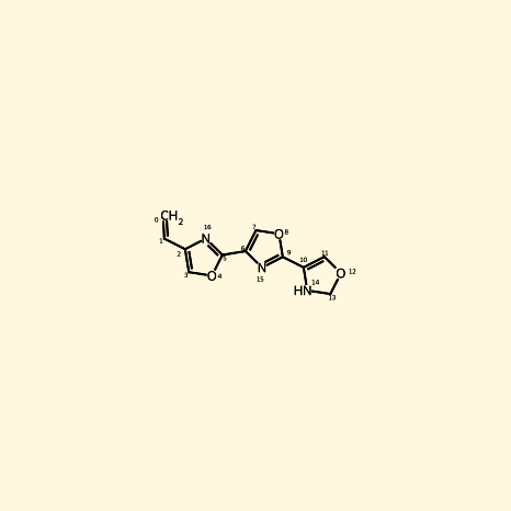 C=Cc1coc(-c2coc(C3=COCN3)n2)n1